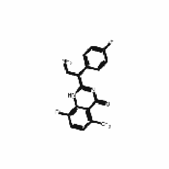 Cc1ccc(F)c2[nH]c(C(CN)c3ccc(F)cc3)nc(=O)c12